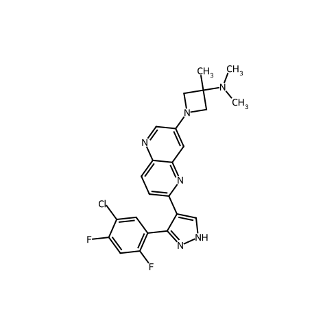 CN(C)C1(C)CN(c2cnc3ccc(-c4c[nH]nc4-c4cc(Cl)c(F)cc4F)nc3c2)C1